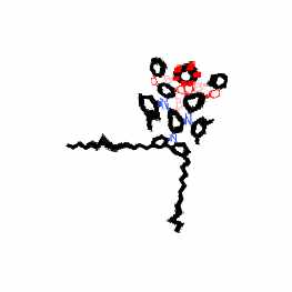 CCCCCCCCCCCCc1ccc2c(c1)c1cc(CCCCCCCCCCCC)ccc1n2-c1cc2c3c(c1)N(c1cc(C)cc(C)c1)c1cc4c5c(c1B3c1c(cc3c6c1Oc1ccccc1B6c1ccccc1O3)N2c1cc(C)cc(C)c1)Oc1ccccc1B5c1ccccc1O4